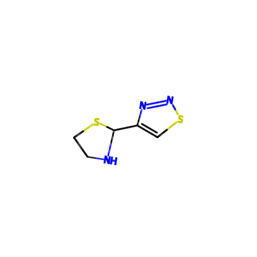 c1snnc1C1NCCS1